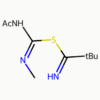 C/N=C(/NC(C)=O)SC(=N)C(C)(C)C